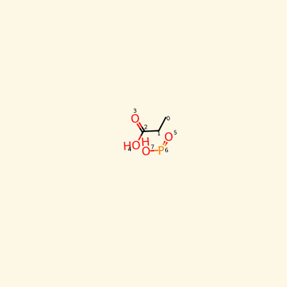 CCC(=O)O.O=PO